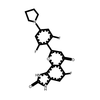 O=c1[nH]c2cc(F)c3c(=O)cc(-c4c(F)cc(N5CCCC5)cc4F)oc3c2[nH]1